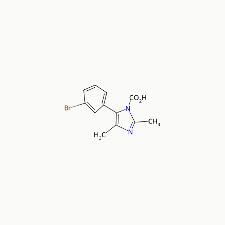 Cc1nc(C)n(C(=O)O)c1-c1cccc(Br)c1